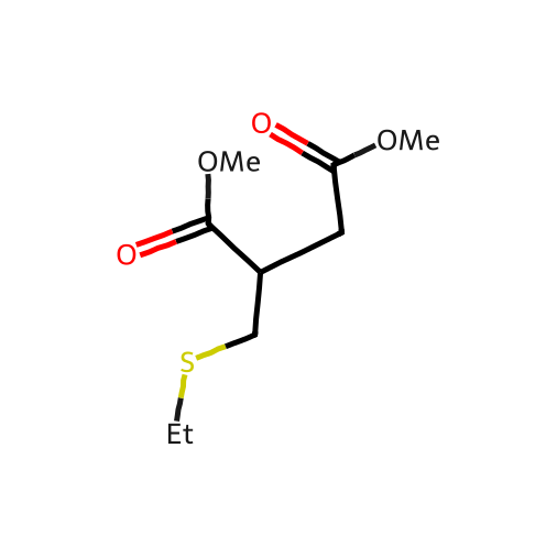 CCSCC(CC(=O)OC)C(=O)OC